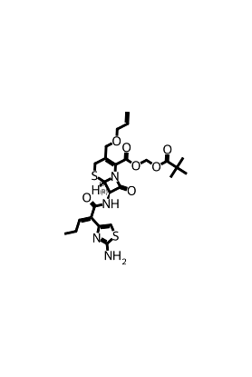 C=CCOCC1=C(C(=O)OCOC(=O)C(C)(C)C)N2C(=O)[C@@H](NC(=O)C(=CCC)c3csc(N)n3)[C@@H]2SC1